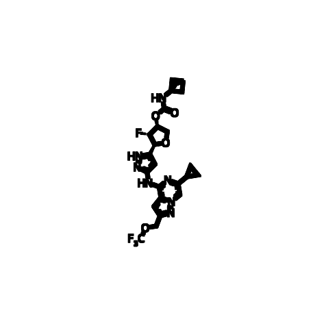 O=C(NC12CC(C1)C2)O[C@H]1CO[C@@H](c2cc(Nc3nc(C4CC4)cn4nc(COC(F)(F)F)cc34)n[nH]2)[C@@H]1F